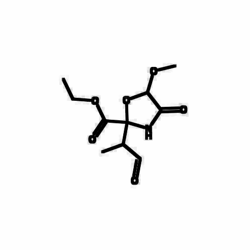 CCOC(=O)C1(C(C)C=O)NC(=O)C(OC)O1